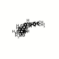 CCN(CC)c1ccc(-c2csc(Nc3ccc4c(c3O)C(=O)C3=C(O)C5(O)C(=O)C(C(N)=O)=C(O)C(N(C)C)C5C(O)C3C4C)n2)cc1